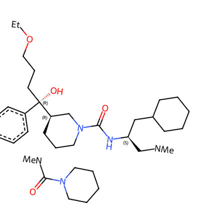 CCOCCC[C@](O)(c1ccccc1)[C@@H]1CCCN(C(=O)N[C@H](CNC)CC2CCCCC2)C1.CNC(=O)N1CCCCC1